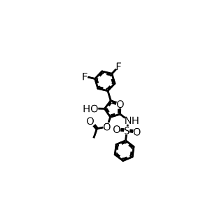 CC(=O)Oc1c(NS(=O)(=O)c2ccccc2)oc(-c2cc(F)cc(F)c2)c1O